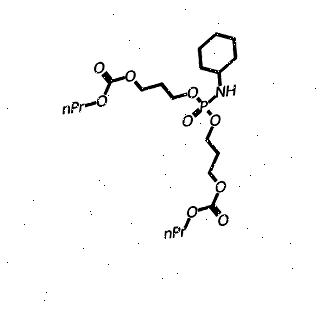 CCCOC(=O)OCCCOP(=O)(NC1CCCCC1)OCCCOC(=O)OCCC